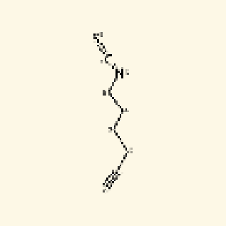 C#CCCCCN=C=S